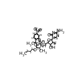 CCCCOC(=O)[C@H](C)NP(=O)(OCC1OC(n2cnc(N)nc2=O)C(F)C1O)OC(C)c1ccc([N+](=O)[O-])cc1